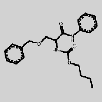 CCCCOC(=O)NC(COCc1ccccc1)C(=O)Nc1ccccc1